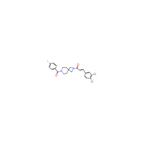 O=C(C=Cc1ccc(Cl)c(Cl)c1)N1CC2(CCN(C(=O)c3ccc(F)cc3)CC2)C1